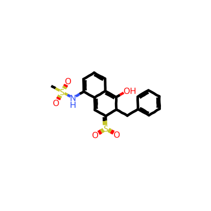 CS(=O)(=O)Nc1cccc2c1=CC(=S(=O)=O)C(Cc1ccccc1)C=2O